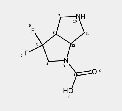 O=C(O)N1CC(F)(F)C2CNCC21